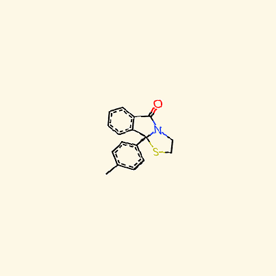 Cc1ccc(C23SCCN2C(=O)c2ccccc23)cc1